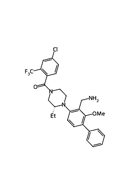 CC[C@@H]1CN(C(=O)c2ccc(Cl)cc2C(F)(F)F)CCN1c1ccc(-c2ccccc2)c(OC)c1CN